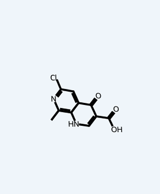 Cc1nc(Cl)cc2c(=O)c(C(=O)O)c[nH]c12